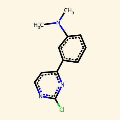 CN(C)c1cccc(-c2ccnc(Cl)n2)c1